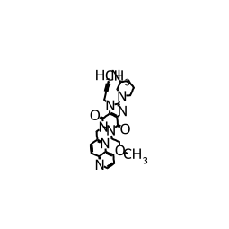 CC#CCn1c(N2CCCC(N)C2)nc2c(=O)n(CCOC)n(Cc3ccc4ncccc4n3)c(=O)c21